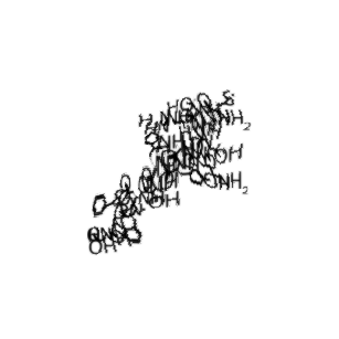 CSCC[C@H](N)C(=O)N[C@H](C(=O)N[C@@H](CCCNC(=N)N)C(=O)N[C@H](C(=O)N[C@@H](CCCCN)C(=O)N[C@@H](C)C(=O)N[C@@H](Cc1ccc(O)cc1)C(=O)N[C@@H](Cc1c[nH]c2ccccc12)C(=O)N[C@@H](CO)C(=O)N[C@@H](CC(=O)OSCc1ccccc1)C(=O)N(C)[C@@H](Cc1ccccc1)C(=O)NCC(=O)NCC(=O)O)[C@@H](C)O)[C@@H](C)O